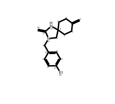 C=C1CCC2(CC1)CN(Cc1ccc(CC)cc1)C(=C)N2